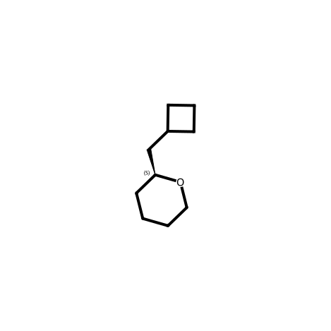 C1CC[C@@H](CC2CCC2)OC1